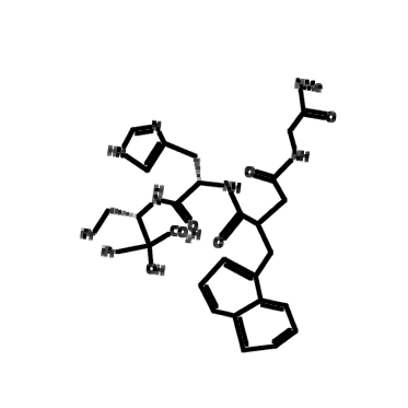 CNC(=O)CNC(=O)CC(Cc1cccc2ccccc12)C(=O)N[C@@H](Cc1c[nH]cn1)C(=O)N[C@@H](CC(C)C)C(O)(C(=O)O)C(C)C